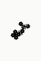 c1ccc(-c2nc(-c3ccc4c(c3)Oc3c(ccc5c3-c3ccccc3C5(c3ccccc3)c3ccccc3)O4)nc(-c3ccccn3)n2)cc1